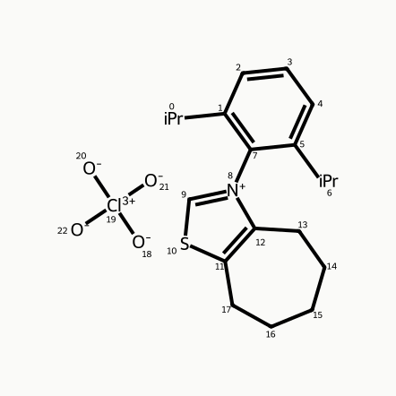 CC(C)c1cccc(C(C)C)c1-[n+]1csc2c1CCCCC2.[O-][Cl+3]([O-])([O-])[O-]